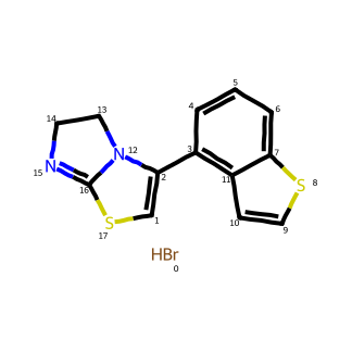 Br.C1=C(c2cccc3sccc23)N2CCN=C2S1